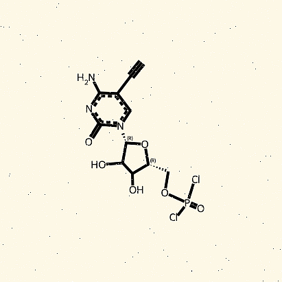 C#Cc1cn([C@@H]2O[C@H](COP(=O)(Cl)Cl)C(O)C2O)c(=O)nc1N